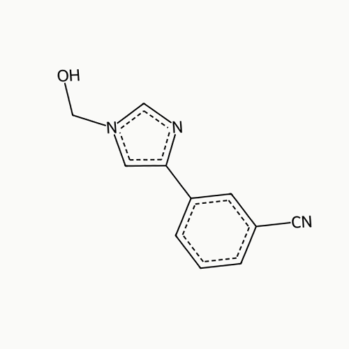 N#Cc1cccc(-c2cn(CO)cn2)c1